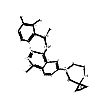 Cc1cccc([C@@H](C)Nc2nnc(C)c3ccc(N4CCNC5(CC5)C4)cc23)c1C